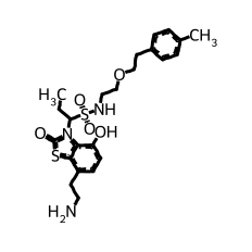 CCC(n1c(=O)sc2c(CCN)ccc(O)c21)S(=O)(=O)NCCOCCc1ccc(C)cc1